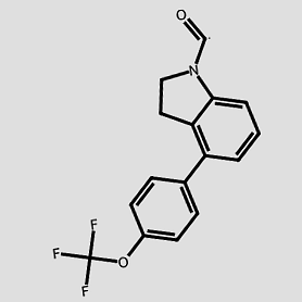 O=[C]N1CCc2c(-c3ccc(OC(F)(F)F)cc3)cccc21